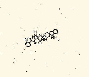 N[C@@H]1c2ccccc2CC12CCN(c1nc3[nH]nc(C4(c5ccnc6ccccc56)CC4)c3c(=O)[nH]1)CC2